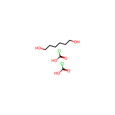 O=C(O)Cl.O=C(O)Cl.OCCCCCCO